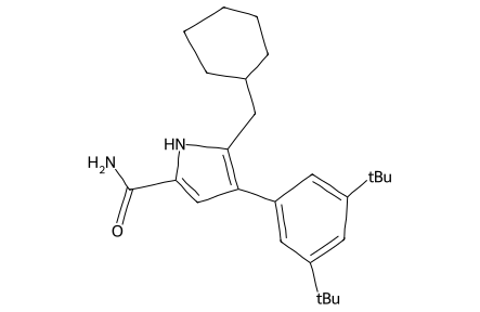 CC(C)(C)c1cc(-c2cc(C(N)=O)[nH]c2CC2CCCCC2)cc(C(C)(C)C)c1